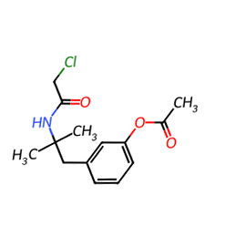 CC(=O)Oc1cccc(CC(C)(C)NC(=O)CCl)c1